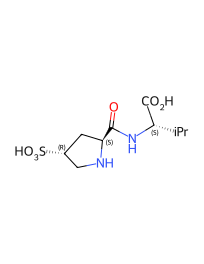 CC(C)[C@H](NC(=O)[C@@H]1C[C@@H](S(=O)(=O)O)CN1)C(=O)O